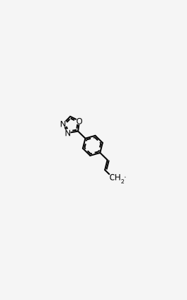 [CH2]/C=C/c1ccc(-c2nnco2)cc1